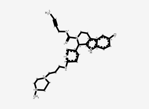 CC#CCOC(=O)N1CCc2c([nH]c3ccc(Cl)cc23)C1c1ccc(OCCCN2CCN(C)CC2)cc1